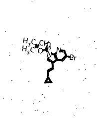 CC(C)(C)OC(=O)n1cc(/C=C/C2CC2)c2cc(Br)cnc21